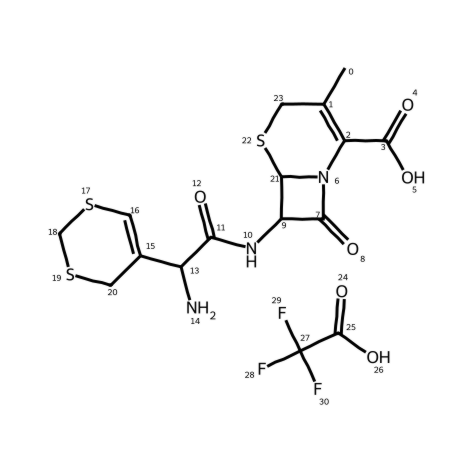 CC1=C(C(=O)O)N2C(=O)C(NC(=O)C(N)C3=CSCSC3)C2SC1.O=C(O)C(F)(F)F